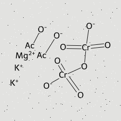 CC(=O)[O-].CC(=O)[O-].[K+].[K+].[Mg+2].[O]=[Cr](=[O])([O-])[O][Cr](=[O])(=[O])[O-]